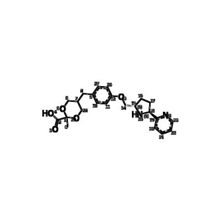 CC1(C(=O)O)OCC(Cc2ccc(OC[C@@H]3CC[C@@H](c4ccccn4)N3)cc2)CO1